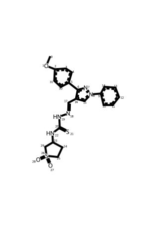 COc1ccc(-c2nn(-c3ccccc3)cc2/C=N/NC(=S)NC2CCS(=O)(=O)C2)cc1